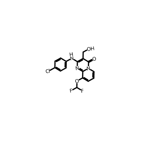 O=c1c(CO)c(Nc2ccc(Cl)cc2)nc2c(OC(F)F)cccn12